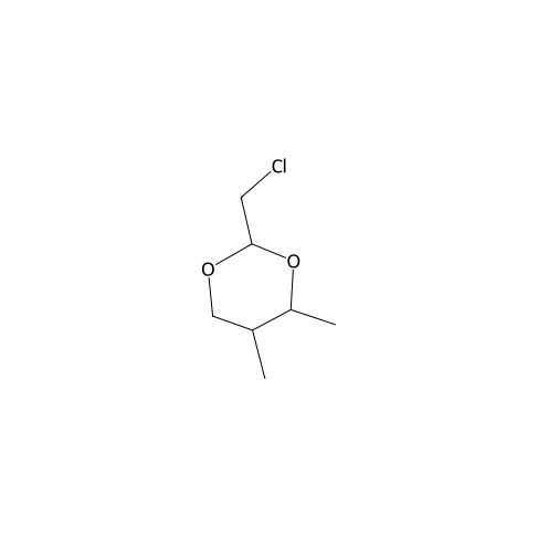 CC1COC(CCl)OC1C